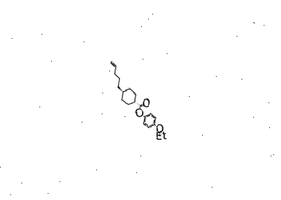 C=CCCC[C@H]1CC[C@H](C(=O)Oc2ccc(OCC)cc2)CC1